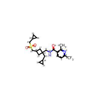 Cc1nc(C(F)(F)F)ccc1C(=O)NCC1(CC2CC2)CC(CS(=O)(=O)CC2CC2)C1